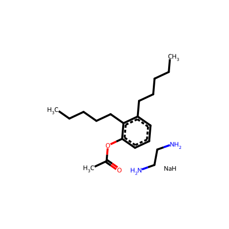 CCCCCc1cccc(OC(C)=O)c1CCCCC.NCCN.[NaH]